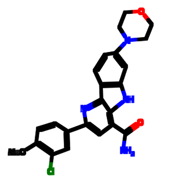 COc1ccc(-c2cc(C(N)=O)c3[nH]c4cc(N5CCOCC5)ccc4c3n2)cc1Cl